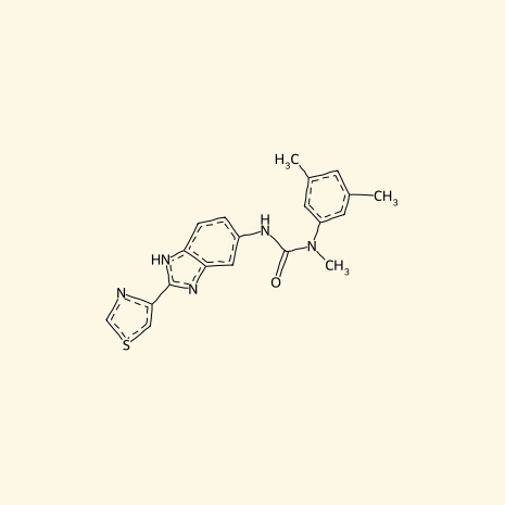 Cc1cc(C)cc(N(C)C(=O)Nc2ccc3[nH]c(-c4cscn4)nc3c2)c1